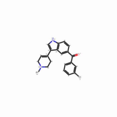 CCc1cccc(C(=O)c2ccc3[nH]cc(C4=CCN(C(C)C)CC4)c3c2)c1